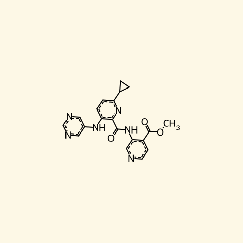 COC(=O)c1ccncc1NC(=O)c1nc(C2CC2)ccc1Nc1cncnc1